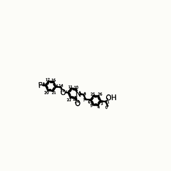 CC(O)c1ccc(CCn2ccc(OCc3ccc(F)cc3)cc2=O)cc1